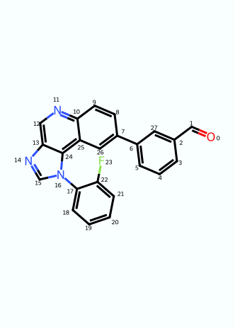 O=Cc1cccc(-c2ccc3ncc4ncn(-c5ccccc5F)c4c3c2)c1